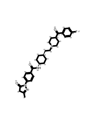 CC1=NN(c2ccc(C(=O)N[C@H]3CC[C@H](CCN4CCC(C(=O)c5ccc(F)cc5)CC4)CC3)cc2)C(=O)C1